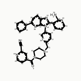 N#Cc1cc(C(=O)N2CCN(Cc3ccc(-n4c(-c5cccnc5N)nc5ccc(-c6ccccc6)nc54)cc3)CC2)ccn1